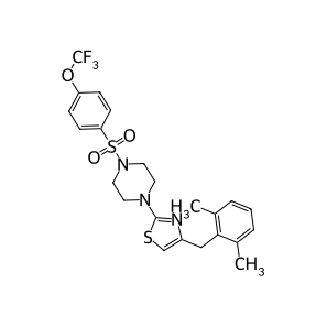 Cc1cccc(C)c1Cc1csc(N2CCN(S(=O)(=O)c3ccc(OC(F)(F)F)cc3)CC2)n1